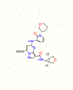 CNc1cc(Nc2cccn([C@H]3CCCOC3)c2=O)nc2c(C(=O)NC3[C@H]4COC[C@@H]34)cnn12